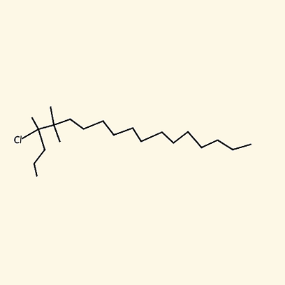 CCCCCCCCCCCCCC(C)(C)C(C)(Cl)CCC